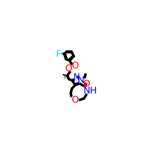 CCn1nc(C[C@@H](C)COC(=O)c2cccc(F)c2)c2c1C(=O)NCCCOCCC2